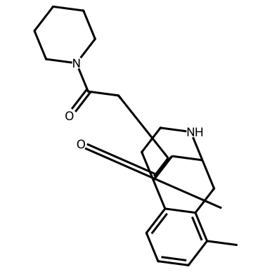 Cc1cccc2c1CC1NCCC23CC(=O)C(CC(=O)N2CCCCC2)CC13